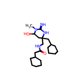 CN1C(=N)NC(CNC(=O)CC2CCCCC2)(CC2CCCCC2)CC1O